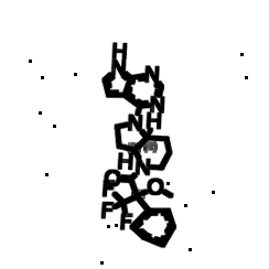 CO[C@@](C(=O)N1CCC[C@@H]2[C@H]1CCN2c1ncnc2[nH]ccc12)(c1ccccc1)C(F)(F)F